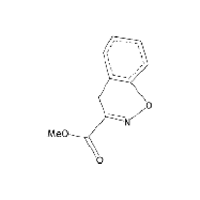 COC(=O)C1=NOc2ccccc2C1